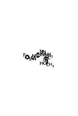 Cc1c(Nc2ncnc(N3CCN(c4ncc(Sc5ccc(F)cc5)cn4)CC3)n2)cnn1C[C@H](C)O